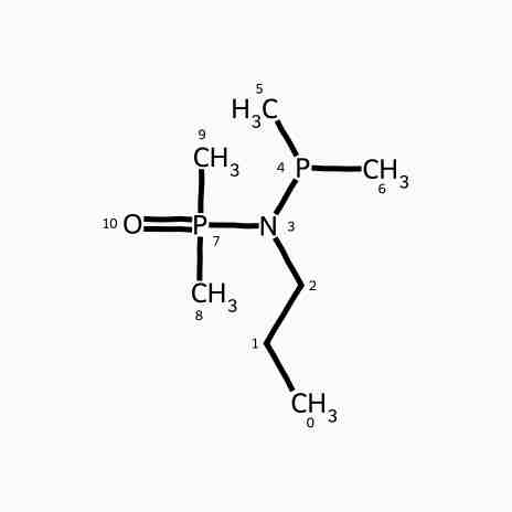 CCCN(P(C)C)P(C)(C)=O